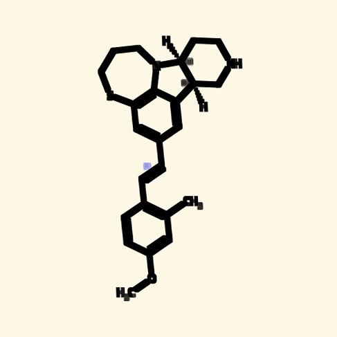 COc1ccc(/C=C/c2cc3c4c(c2)[C@@H]2CNCC[C@@H]2N4CCCS3)c(C)c1